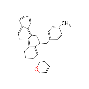 C1=CCOCC1.Cc1ccc(CC2CC3=c4ccccc4=CCC3=C3CCCC=C32)cc1